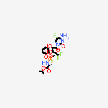 CC(C)OC(=O)[C@H](C)NP(=S)(OC[C@@]1(C(F)F)O[C@@H](n2cc(F)c(N)nc2=O)[C@H](O)[C@H]1O)Oc1ccccc1